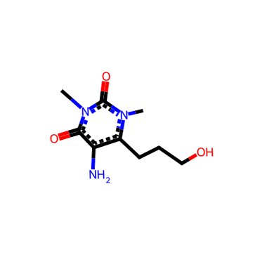 Cn1c(CCCO)c(N)c(=O)n(C)c1=O